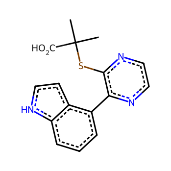 CC(C)(Sc1nccnc1-c1cccc2[nH]ccc12)C(=O)O